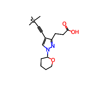 C[Si](C)(C)C#Cc1cn(C2CCCCO2)nc1CCC(=O)O